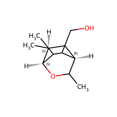 CC1O[C@@H]2C(C)C(CO)[C@H]1C[C@@H]2C